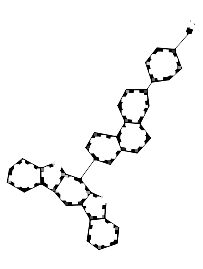 N#Cc1ccc(-c2ccc3c(ccc4cc(-c5c6oc7ccccc7c6cc6c5oc5ccccc56)ccc43)c2)cc1